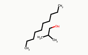 CC(C)CO.CCCCCCCCCC